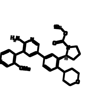 COc1cnccc1-c1cc(-c2ccc(C3CCOCC3)c([C@@H]3CCCN3C(=O)OC(C)(C)C)c2)cnc1N